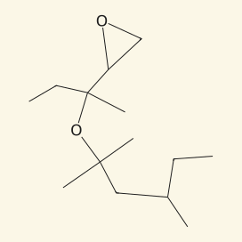 CCC(C)CC(C)(C)OC(C)(CC)C1CO1